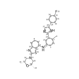 Cc1ccc(Nc2cccc3nc(N4C[C@@H](C)O[C@@H](C)C4)sc23)cc1-c1ncc(-c2ccc(F)cc2)[nH]1